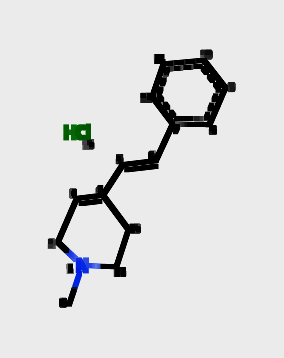 CN1CC=C(C=Cc2ccccc2)CC1.Cl